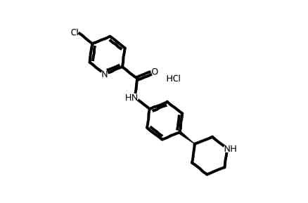 Cl.O=C(Nc1ccc([C@@H]2CCCNC2)cc1)c1ccc(Cl)cn1